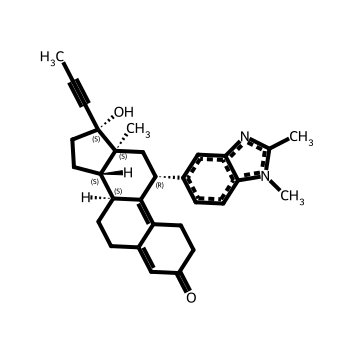 CC#C[C@]1(O)CC[C@H]2[C@@H]3CCC4=CC(=O)CCC4=C3[C@@H](c3ccc4c(c3)nc(C)n4C)C[C@@]21C